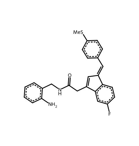 CSc1ccc(/C=C2\C=C(CC(=O)NCc3ccccc3N)c3cc(F)ccc32)cc1